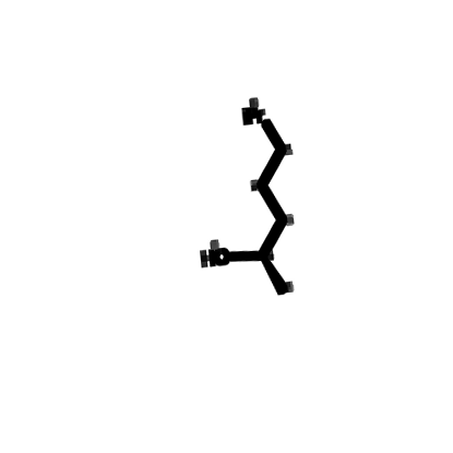 CC(C)CCC[C@@H](C)O